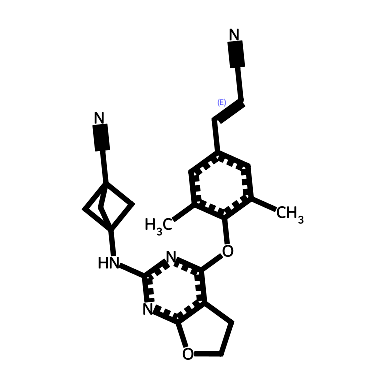 Cc1cc(/C=C/C#N)cc(C)c1Oc1nc(NC23CC(C#N)(C2)C3)nc2c1CCO2